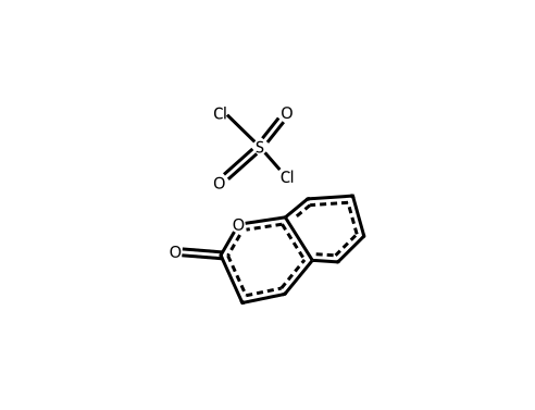 O=S(=O)(Cl)Cl.O=c1ccc2ccccc2o1